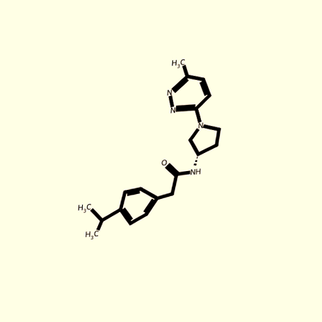 Cc1ccc(N2CC[C@H](NC(=O)Cc3ccc(C(C)C)cc3)C2)nn1